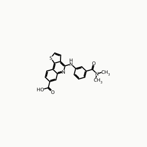 CN(C)C(=O)c1cccc(Nc2nc3cc(C(=O)O)ccc3c3sccc23)c1